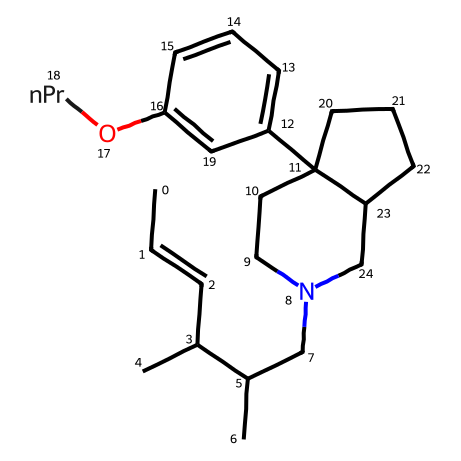 CC=CC(C)C(C)CN1CCC2(c3cccc(OCCC)c3)CCCC2C1